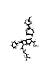 COC(=O)c1cc2c(cc1Oc1ccc(-c3noc(C)n3)nc1)nc(-c1ccccn1)n2COCC[Si](C)(C)C